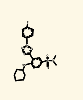 CN(C)S(=O)(=O)c1ccc(NC2CCCCC2)c(-c2nnn(-c3ccc(F)cc3)n2)c1